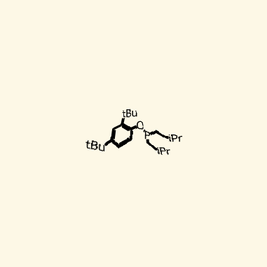 CC(C)CP(CC(C)C)Oc1ccc(C(C)(C)C)cc1C(C)(C)C